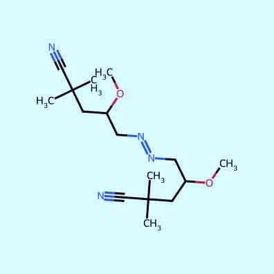 COC(CN=NCC(CC(C)(C)C#N)OC)CC(C)(C)C#N